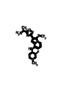 C[C@H](N)c1nc(-c2cc3c(N[C@@H]4CCN(C)C[C@@H]4F)cccn3c2SC(F)(F)F)no1